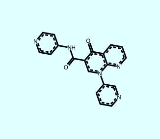 O=C(Nc1ccncc1)c1cn(-c2cccnc2)c2ncccc2c1=O